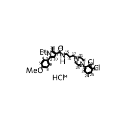 CCn1c(-c2ccc(OC)cc2)cc(C(=O)NCCCN2CCN(c3cccc(Cl)c3Cl)CC2)c1C.Cl